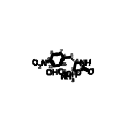 N.O=C1N[C@@H](Cc2ccc([N+](=O)[O-])cc2)CO1.O=CO